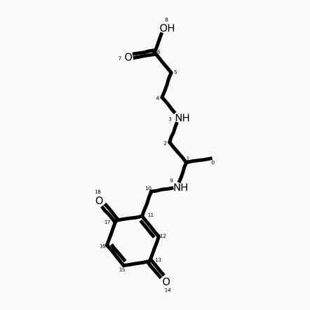 CC(CNCCC(=O)O)NCC1=CC(=O)C=CC1=O